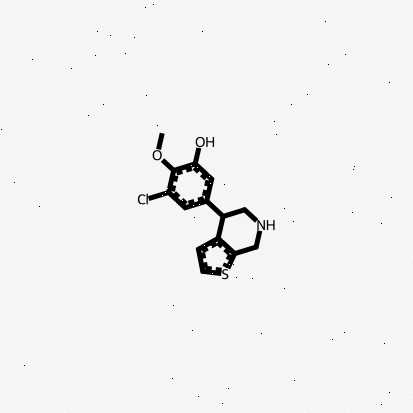 COc1c(O)cc(C2CNCc3sccc32)cc1Cl